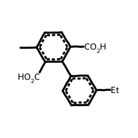 CCc1cccc(-c2c(C(=O)O)ccc(C)c2C(=O)O)c1